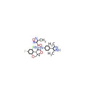 Cc1nonc1C(=O)N[C@H](C(=O)Nc1ccc(-c2c(C)n[nH]c2C)cc1)C1c2c(F)cc(F)cc2OCC12CC2